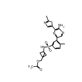 Cc1ncc(-c2nc(-c3cc(S(=O)(=O)NC45CC(COC(=O)C(F)(F)F)(C4)C5)ccc3C)cnc2N)s1